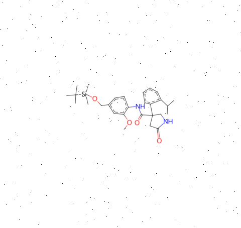 COc1cc(CO[Si](C)(C)C(C)(C)C)ccc1NC(=O)C1(c2ccccc2C(C)C)CNC(=O)C1